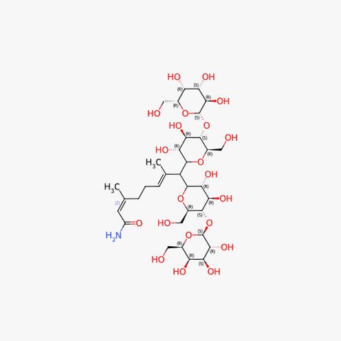 CC(=CCC/C(C)=C\C(N)=O)C(C1O[C@H](CO)[C@@H](O[C@@H]2O[C@H](CO)[C@H](O)[C@H](O)[C@H]2O)[C@H](O)[C@H]1O)C1O[C@H](CO)[C@@H](O[C@@H]2O[C@H](CO)[C@H](O)[C@H](O)[C@H]2O)[C@H](O)[C@H]1O